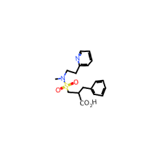 CN(CCc1ccccn1)S(=O)(=O)CC(Cc1ccccc1)C(=O)O